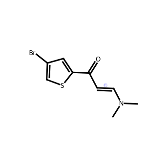 CN(C)/C=C/C(=O)c1cc(Br)cs1